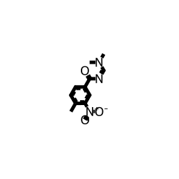 Cc1ccc(C(=O)/N=C\N(C)C)cc1[N+](=O)[O-]